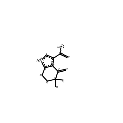 C=C(c1c[nH]c2c1C(=C)C(C)(C)CC2)C(C)C